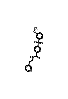 O=C(NCCc1cccnc1)c1ccc(S(=O)(=O)c2cccc(OC(F)(F)F)c2)cc1